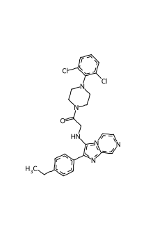 CCc1ccc(-c2nc3cnccn3c2NCC(=O)N2CCN(c3c(Cl)cccc3Cl)CC2)cc1